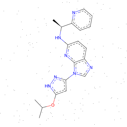 CC(C)Oc1cc(-n2cnc3ccc(N[C@@H](C)c4ccccn4)nc32)n[nH]1